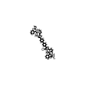 COC(=O)NC(C(=O)N1CCCC1c1nc(-c2ccc(-c3ccc(-c4nc(C5CC[C@@H](C)N5C(=O)C(NC(=O)OC)C5CCCOC5)[nH]c4Cl)cc3)cc2)c[nH]1)C1CCCOC1